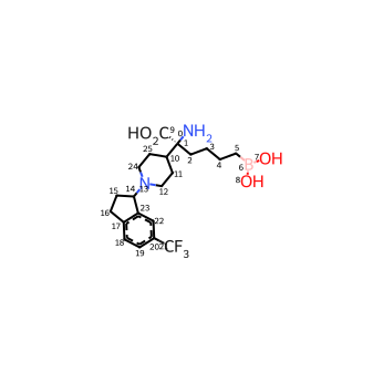 N[C@](CCCCB(O)O)(C(=O)O)C1CCN(C2CCc3ccc(C(F)(F)F)cc32)CC1